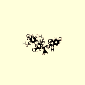 COc1nc(C)c(Nc2nc(Cl)cn([C@@H](COC(=O)Nc3ccc(Cl)cc3Cl)C3CC3)c2=O)cc1C